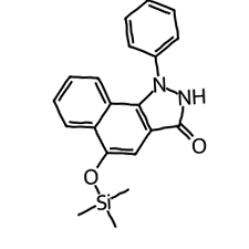 C[Si](C)(C)Oc1cc2c(=O)[nH]n(-c3ccccc3)c2c2ccccc12